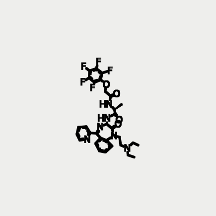 CCN(CC)CCN1C(=O)[C@@H](NC(=O)[C@H](C)NC(=O)COc2c(F)c(F)c(F)c(F)c2F)N=C(c2ccccn2)c2ccccc21